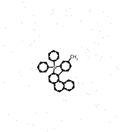 Cc1ccc2c(c1)[Si](c1ccccc1)(c1ccccc1)c1ccc3ccc4ccccc4c3c1-2